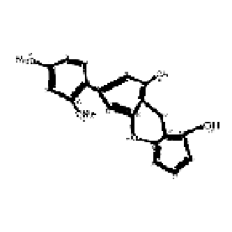 COc1ccc(-c2cc(O)c3c(c2)Oc2cccc(O)c2C3)c(OC)c1